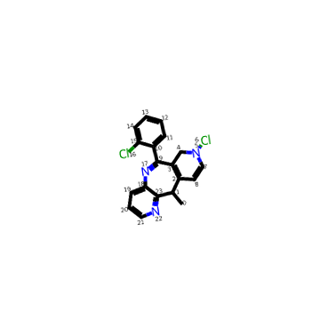 CC1C2=C(CN(Cl)C=C2)C(c2ccccc2Cl)=Nc2cccnc21